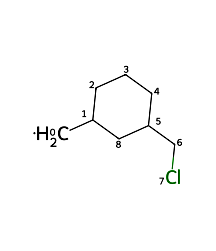 [CH2]C1CCCC(CCl)C1